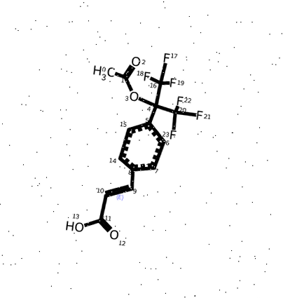 CC(=O)OC(c1ccc(/C=C/C(=O)O)cc1)(C(F)(F)F)C(F)(F)F